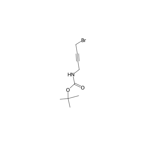 CC(C)(C)OC(=O)NCC#CCBr